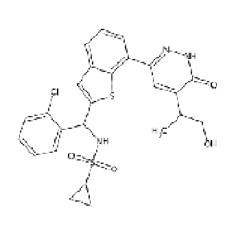 CC(CO)c1cc(-c2cccc3cc(C(NS(=O)(=O)C4CC4)c4ccccc4Cl)sc23)n[nH]c1=O